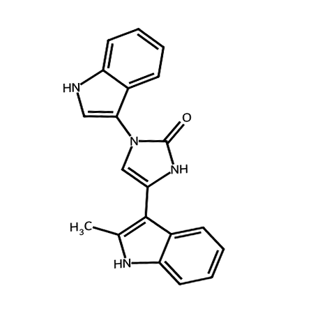 Cc1[nH]c2ccccc2c1-c1cn(-c2c[nH]c3ccccc23)c(=O)[nH]1